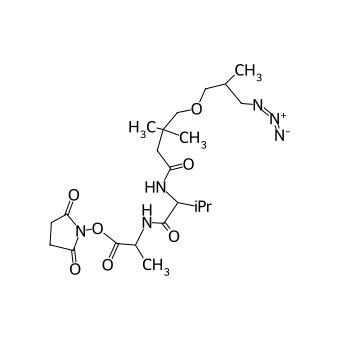 CC(CN=[N+]=[N-])COCC(C)(C)CC(=O)NC(C(=O)NC(C)C(=O)ON1C(=O)CCC1=O)C(C)C